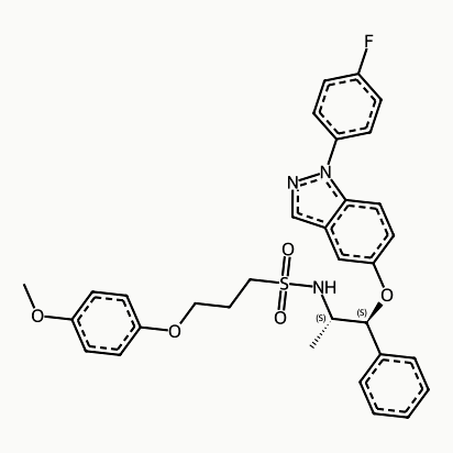 COc1ccc(OCCCS(=O)(=O)N[C@@H](C)[C@@H](Oc2ccc3c(cnn3-c3ccc(F)cc3)c2)c2ccccc2)cc1